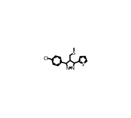 CSCC1C(c2ccc(Cl)cc2)N=NC1c1cccs1